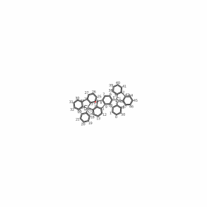 c1ccc([Si]2(c3ccc4c(c3)-c3cccc([Si]5(c6ccccc6)c6ccccc6-c6ccccc65)c3C4)c3ccccc3-c3ccccc32)cc1